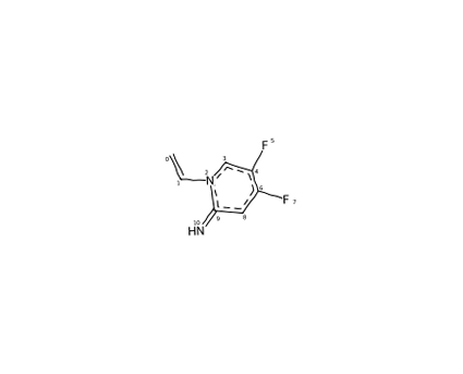 C=Cn1cc(F)c(F)cc1=N